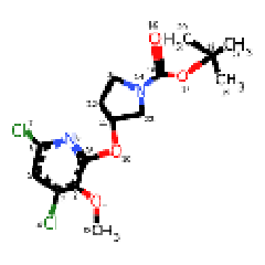 COc1c(Cl)cc(Cl)nc1OC1CCN(C(=O)OC(C)(C)C)C1